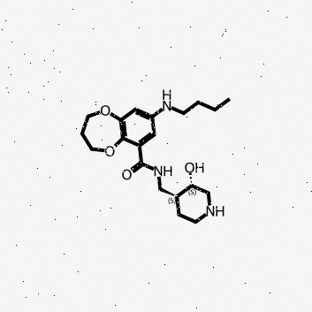 CCCCNc1cc2c(c(C(=O)NC[C@@H]3CCNC[C@H]3O)c1)OCCCO2